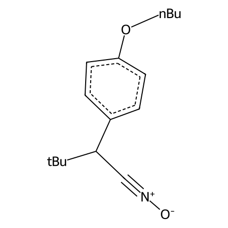 CCCCOc1ccc(C(C#[N+][O-])C(C)(C)C)cc1